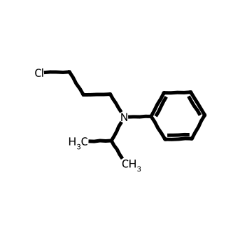 CC(C)N(CCCCl)c1ccccc1